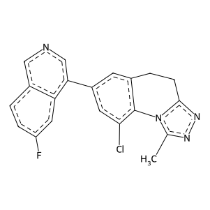 Cc1nnc2n1-c1c(Cl)cc(-c3cncc4ccc(F)cc34)cc1CC2